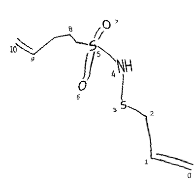 C=CCSNS(=O)(=O)CC=C